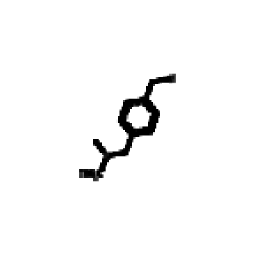 CCOC(=O)N(C)Cc1ccc(CCl)cc1